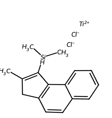 CC1=C([SiH](C)C)c2c(ccc3ccccc23)C1.[Cl-].[Cl-].[Ti+2]